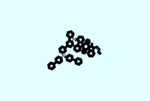 C=C/C=C\C1=C(C)C2(c3ccccc31)c1ccccc1C1(c3ccccc3-c3c(-n4c5ccccc5c5cc(-c6cccc(N(c7ccc(-c8ccccc8)cc7)c7ccc(-c8ccccc8)cc7)c6)ccc54)cccc31)c1ccccc12